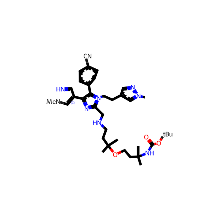 CN/C=C(\C=N)c1nc(CNCCC(C)(C)OCCC(C)(C)NC(=O)OC(C)(C)C)n(CCc2cnn(C)c2)c1-c1ccc(C#N)cc1